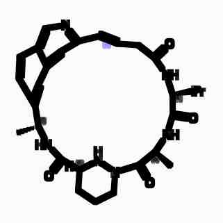 CC(C)[C@@H]1NC(=O)C/C=C/c2cc3cc(ccc3cn2)[C@@H](C)NC(=O)[C@@H]2CCCN(N2)C(=O)[C@H](C)NC1=O